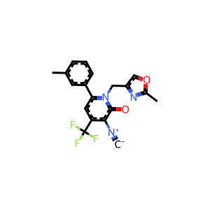 [C-]#[N+]c1c(C(F)(F)F)cc(-c2cccc(C)c2)n(Cc2coc(C)n2)c1=O